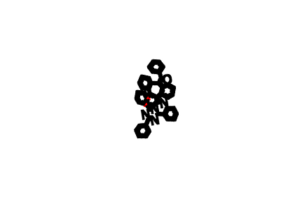 c1ccc(-c2nc(-c3ccccc3)nc(-c3ccccc3-n3c4cccc5c4c4c6c(c(-c7ccccc7)oc6ccc43)-c3ccccc3-5)n2)cc1